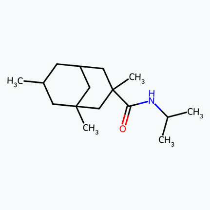 CC1CC2CC(C)(C1)CC(C)(C(=O)NC(C)C)C2